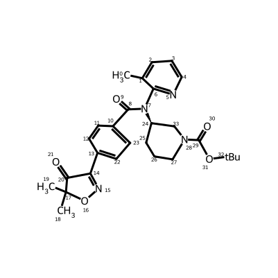 Cc1cccnc1N(C(=O)c1ccc(C2=NOC(C)(C)C2=O)cc1)[C@@H]1CCCN(C(=O)OC(C)(C)C)C1